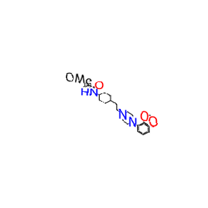 CO[C@@H](C)C(=O)NC1CCC(CCN2CCN(c3cccc4c3OCO4)CC2)CC1